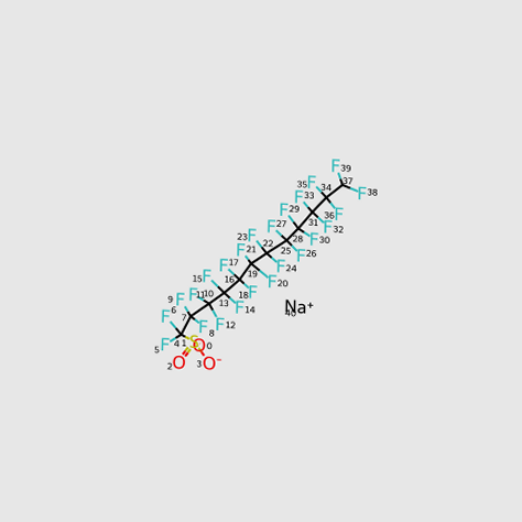 O=S(=O)([O-])C(F)(F)C(F)(F)C(F)(F)C(F)(F)C(F)(F)C(F)(F)C(F)(F)C(F)(F)C(F)(F)C(F)(F)C(F)(F)C(F)F.[Na+]